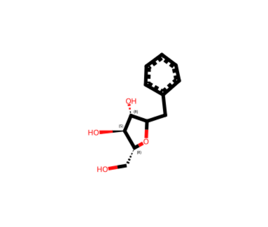 OC[C@H]1O[C](Cc2ccccc2)[C@@H](O)[C@@H]1O